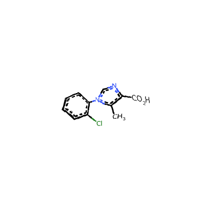 Cc1c(C(=O)O)ncn1-c1ccccc1Cl